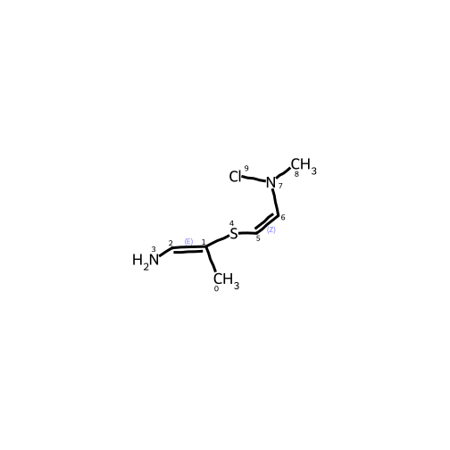 C/C(=C\N)S/C=C\N(C)Cl